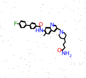 Cc1cc2cc(CN3CCC(CCCC(N)=O)CC3)cnc2cc1NC(=O)c1ccc(-c2ccc(F)cc2)cc1